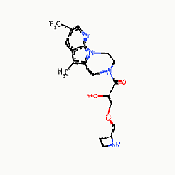 Cc1c2n(c3ncc(C(F)(F)F)cc13)CCN(C(=O)C(O)COCC1CCN1)C2